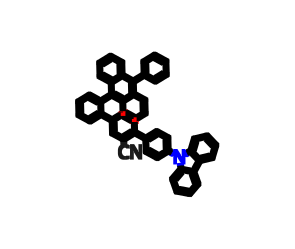 N#Cc1cc(-c2ccccc2-c2c3ccccc3c(-c3ccccc3)c3ccccc23)ccc1-c1ccc(-n2c3ccccc3c3ccccc32)cc1